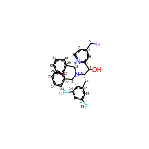 O[C@H](c1cc(CI)ccn1)[C@H](Cc1cc(F)cc(F)c1)N(Cc1ccccc1)Cc1ccccc1